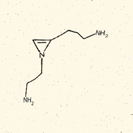 NCCC1=CN1CCN